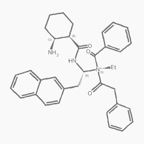 CC[N@+](C(=O)Cc1ccccc1)(C(=O)c1ccccc1)[C@H](Cc1ccc2ccccc2c1)NC(=O)[C@@H]1CCCC[C@@H]1N